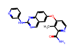 Cc1c(Oc2ccc3nc(Nc4cccnc4)ncc3c2)ccnc1C(N)=O